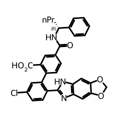 CCC[C@@H](NC(=O)c1ccc(-c2cc(Cl)ccc2-c2nc3cc4c(cc3[nH]2)OCO4)c(C(=O)O)c1)c1ccccc1